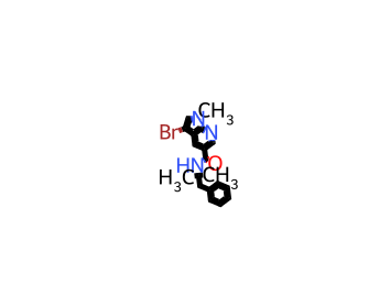 Cn1cc(Br)c2cc(C(=O)NC(C)(C)Cc3ccccc3)cnc21